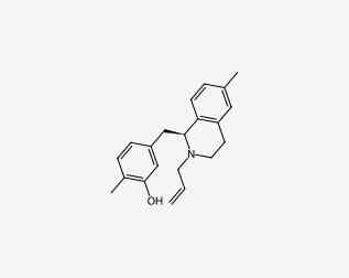 C=CCN1CCc2cc(C)ccc2[C@@H]1Cc1ccc(C)c(O)c1